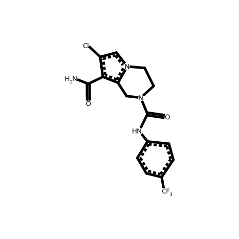 NC(=O)c1c(Cl)cn2c1CN(C(=O)Nc1ccc(C(F)(F)F)cc1)CC2